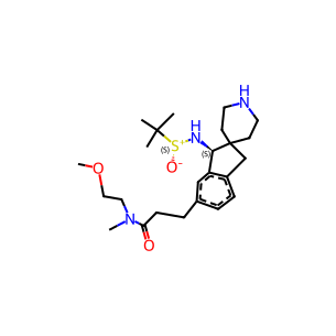 COCCN(C)C(=O)CCc1ccc2c(c1)[C@@H](N[S@+]([O-])C(C)(C)C)C1(CCNCC1)C2